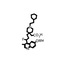 COc1ccc2ncc(C)c(C(F)CCC3(CC(=O)O)CCN(CCC4CCCCC4)CC3)c2c1